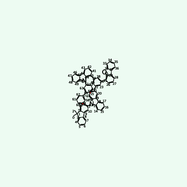 CC1(C)c2ccccc2-c2cc(-n3c4ccccc4c4cc(-c5cc(-c6cccc7c6oc6ccccc67)cc(-c6cccc7c8ccccc8n(-c8cccc(-c9ccccc9)c8)c67)c5)ccc43)ccc21